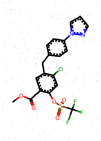 COC(=O)c1cc(Cc2ccc(-n3cccn3)cc2)c(Cl)cc1OS(=O)(=O)C(F)(F)F